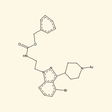 CC(=O)N1CCC(c2nn(CCNC(=O)OCc3ccccc3)c3cccc(Br)c23)CC1